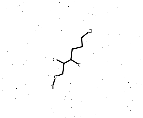 ClCCCC(Cl)C(Cl)C[O][Ti]